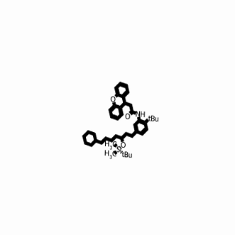 CC(C)(C)c1ccc(CCC(CCCCC2CCCCC2)O[Si](C)(C)C(C)(C)C)cc1NC(=O)CC1c2ccccc2Oc2ccccc21